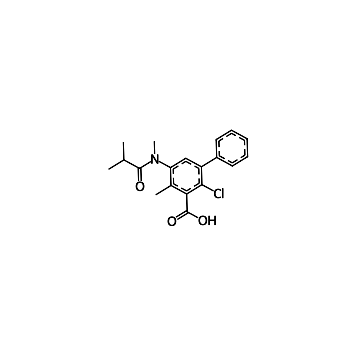 Cc1c(N(C)C(=O)C(C)C)cc(-c2ccccc2)c(Cl)c1C(=O)O